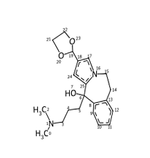 CN(C)CCCC1(O)c2ccccc2CCn2cc(C3OCCO3)cc21